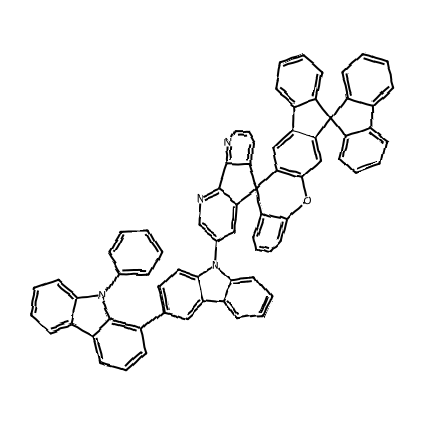 c1ccc(-n2c3ccccc3c3cccc(-c4ccc5c(c4)c4ccccc4n5-c4cnc5c(c4)C4(c6ccccc6Oc6cc7c(cc64)-c4ccccc4C74c6ccccc6-c6ccccc64)c4cccnc4-5)c32)cc1